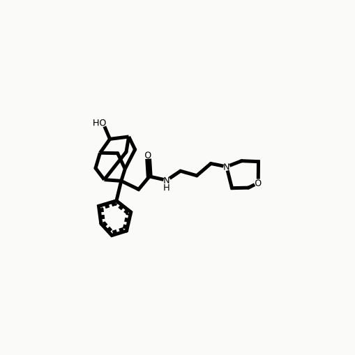 O=C(CC1(c2ccccc2)C2CC3CC1CC(C2)C3O)NCCCN1CCOCC1